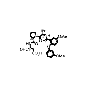 COc1cccc(Oc2ccc(OC)cc2C(=O)N[C@H](C(=O)N2CCC[C@H]2C(=O)N[C@H](C=O)CC(=O)O)C(C)C)c1